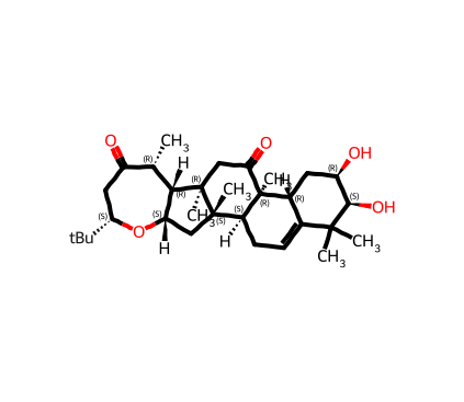 C[C@H]1C(=O)C[C@@H](C(C)(C)C)O[C@H]2C[C@@]3(C)[C@@H]4CC=C5[C@@H](C[C@@H](O)[C@@H](O)C5(C)C)[C@]4(C)C(=O)C[C@]3(C)[C@H]21